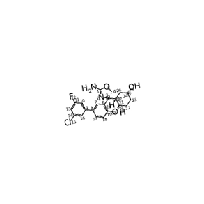 NC1=N[C@]2(CO1)c1cc(-c3cc(F)cc(Cl)c3)ccc1O[C@@H]1CC[C@@H](O)C[C@H]12